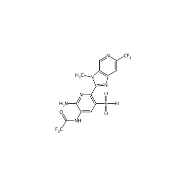 CCS(=O)(=O)c1cc(NC(=O)C(F)(F)F)c(N)nc1-c1nc2cc(C(F)(F)F)ncc2n1C